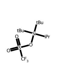 CC(C)[Si](OS(=O)(=O)C(F)(F)F)(C(C)(C)C)C(C)(C)C